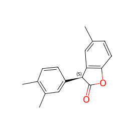 Cc1ccc2c(c1)[C@H](c1ccc(C)c(C)c1)C(=O)O2